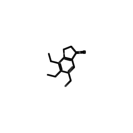 CCc1cc2c(c(CC)c1CC)CCC2=O